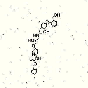 O=C(Nc1ccc(OC[C@H](O)CNC(CO)Cc2ccc(Oc3ncccc3CO)cc2)cn1)OCc1ccccc1